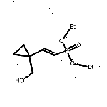 CCOP(=O)(C=CC1(CO)CC1)OCC